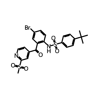 CC(C)(C)c1ccc(S(=O)(=O)Nc2ccc(Br)cc2C(=O)c2ccnc(S(C)(=O)=O)c2)cc1